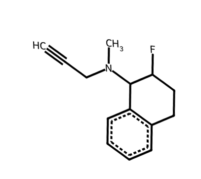 C#CCN(C)C1c2ccccc2CCC1F